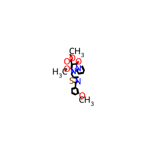 CCOC(=O)c1c(OC)[n+](Cc2cnc(-c3cccc(OC)c3)s2)c2ccccn2c1=O